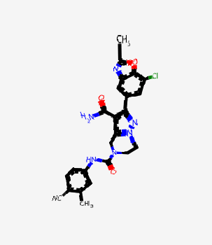 Cc1nc2cc(-c3nn4c(c3C(N)=O)CN(C(=O)Nc3ccc(C#N)c(C)c3)CC4)cc(Cl)c2o1